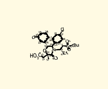 CC[C@@H](CS(=O)(=O)C(C)(C)C)N1C(=O)[C@](C)(CC(=O)O)O[C@H](c2cccc(Cl)c2)C1c1ccc(Cl)cc1